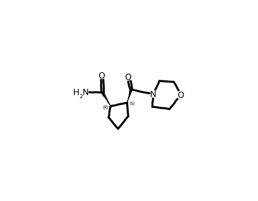 NC(=O)[C@@H]1CCC[C@@H]1C(=O)N1CCOCC1